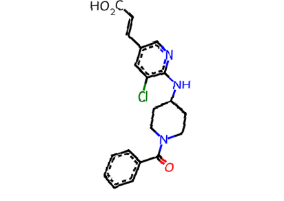 O=C(O)/C=C/c1cnc(NC2CCN(C(=O)c3ccccc3)CC2)c(Cl)c1